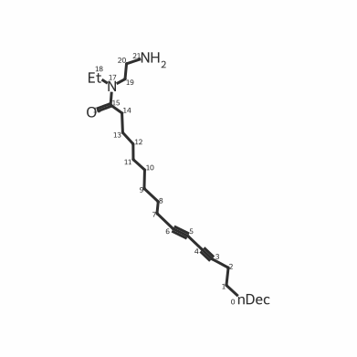 CCCCCCCCCCCCC#CC#CCCCCCCCCC(=O)N(CC)CCN